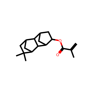 C=C(C)C(=O)OC1CC2CC1C1C2C2CC1C(C)(C)C2